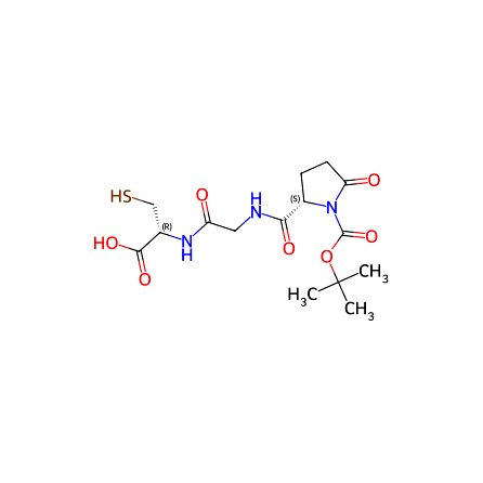 CC(C)(C)OC(=O)N1C(=O)CC[C@H]1C(=O)NCC(=O)N[C@@H](CS)C(=O)O